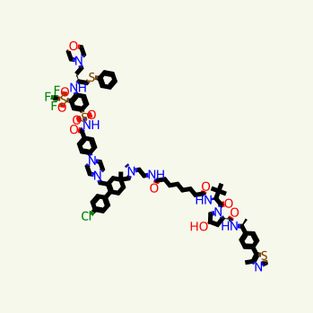 Cc1ncsc1-c1ccc([C@H](C)NC(=O)[C@@H]2C[C@@H](O)CN2C(=O)[C@@H](NC(=O)CCCCCCC(=O)NCCN(C)CC2(C)CCC(c3ccc(Cl)cc3)=C(CN3CCN(c4ccc(C(=O)NS(=O)(=O)c5ccc(N[C@H](CCN6CCOCC6)CSc6ccccc6)c(S(=O)(=O)C(F)(F)F)c5)cc4)CC3)C2)C(C)(C)C)cc1